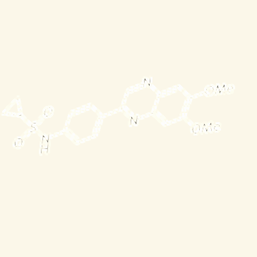 COc1cc2ncc(-c3ccc(NS(=O)(=O)C4CC4)cc3)nc2cc1OC